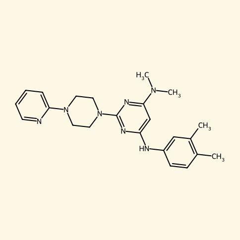 Cc1ccc(Nc2cc(N(C)C)nc(N3CCN(c4ccccn4)CC3)n2)cc1C